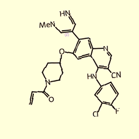 C=CC(=O)N1CCC(Oc2cc3c(Nc4ccc(F)c(Cl)c4)c(C#N)cnc3cc2/C(C=N)=C/NC)CC1